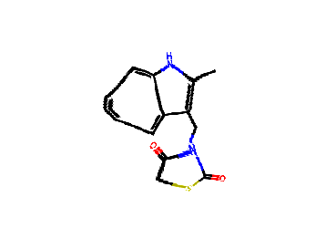 Cc1[nH]c2ccccc2c1CN1C(=O)CSC1=O